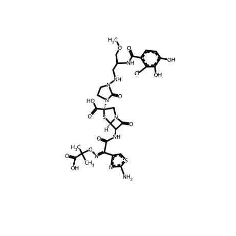 COCC(CNN1CCN([C@]2(C(=O)O)CN3C(=O)[C@@H](NC(=O)/C(=N\OC(C)(C)C(=O)O)c4csc(N)n4)[C@H]3S2)C1=O)NC(=O)c1ccc(O)c(O)c1Cl